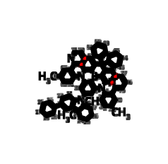 Cc1ccc(N2c3cc(N4c5ccc(-c6ccccc6)cc5C5(C)CCCCC45C)cc4c3B3c5c2cccc5C(c2ccccc2)(c2ccccc2)c2cccc(c23)N4c2ccc(C)cc2-c2ccccn2)c(-c2ccccn2)c1